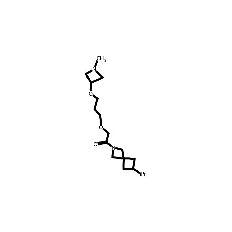 CC(C)C1CC2(C1)CN(C(=O)COCCCOC1CN(C)C1)C2